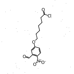 O=Cc1cc(OCCCCCCC(=O)Cl)ccc1[N+](=O)[O-]